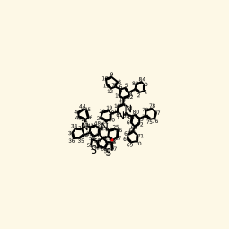 c1ccc(-c2cc(-c3ccccc3)cc(-c3cc(-c4cccc(N5c6ccccc6C6(c7cc8c9ccccc9n(-c9ccccc9)c8cc75)c5ccsc5-c5sccc56)c4)nc(-c4cc(-c5ccccc5)cc(-c5ccccc5)c4)n3)c2)cc1